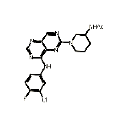 CC(=O)NC1CCCN(c2ncc3ncnc(Nc4ccc(F)c(Cl)c4)c3n2)C1